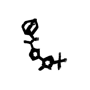 Cn1nc(C(F)(F)F)cc1-c1ccc(C(=O)NC2CN3CCC2CC3)s1